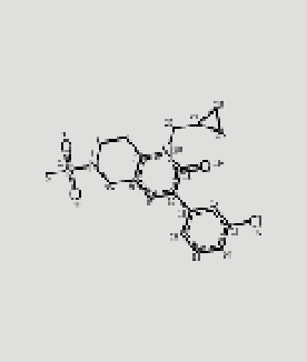 CS(=O)(=O)N1CCc2c(cc(-c3cccc(Cl)c3)c(=O)n2CC2CC2)C1